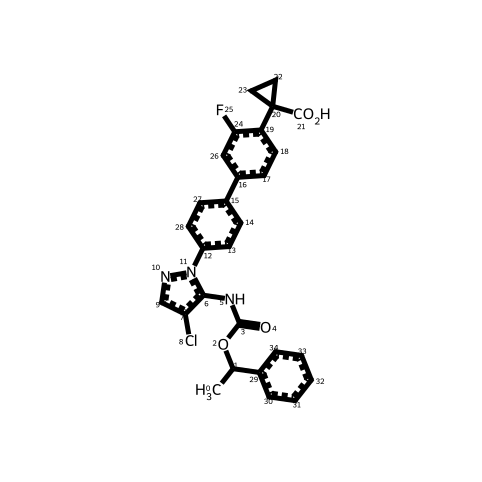 CC(OC(=O)Nc1c(Cl)cnn1-c1ccc(-c2ccc(C3(C(=O)O)CC3)c(F)c2)cc1)c1ccccc1